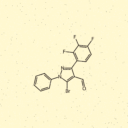 O=Cc1c(-c2ccc(F)c(F)c2F)nn(-c2ccccc2)c1Br